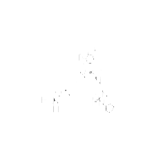 Bc1cc(C[C@@H](OC(=O)N2CCC(N3CCc4ccccc4NC3=O)CC2)C(=O)N2CCC(C3CCN(CC(=O)NO)CC3)CC2)cc(C=C)c1O